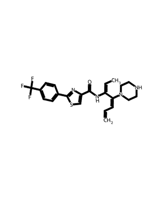 C=C/C=C(\C(=C/C)NC(=O)c1csc(-c2ccc(C(F)(F)F)cc2)n1)N1CCNCC1